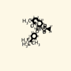 Cc1ccc2n(c1=O)[C@@H](COC1CCC(C(C)(C)C)CC1)[C@@H](NS(=O)(=O)C1CC1)CC2